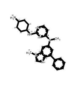 CN(c1cc(-c2ccccc2)c2ncn(C)c2c1)c1ccnc(NC2CCC(N)CC2)n1